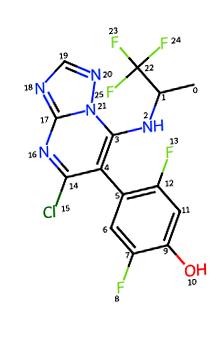 CC(Nc1c(-c2cc(F)c(O)cc2F)c(Cl)nc2ncnn12)C(F)(F)F